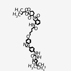 CCC(C)C(=O)ON1C(=O)CCC(N2Cc3c(NC(=O)CCCCOc4ccc5c(c4)ncn5-c4ccc(NC(=O)Nc5cc(C(C)(C)C)on5)cc4)cccc3C2=O)C1=O